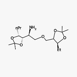 CCC[C@H]1OC(C)(C)O[C@H]1[C@@H](N)COCC1OC(C)(C)O[C@H]1CC